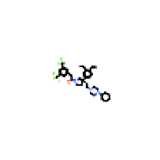 CCc1ccc([C@]2(CCN3CCN(C4CCCCC4)CC3)CCN(C(=O)Cc3cc(C(F)(F)F)cc(C(F)(F)F)c3)C2)cc1CC